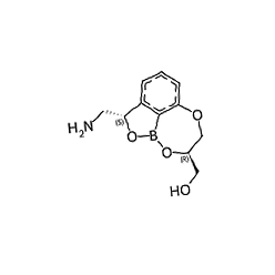 NC[C@H]1OB2O[C@H](CO)COc3cccc1c32